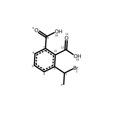 CC(Br)c1cccc(C(=O)O)c1C(=O)O